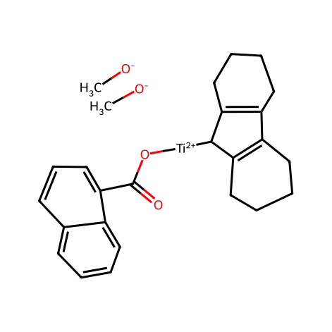 C[O-].C[O-].O=C([O][Ti+2][CH]1C2=C(CCCC2)C2=C1CCCC2)c1cccc2ccccc12